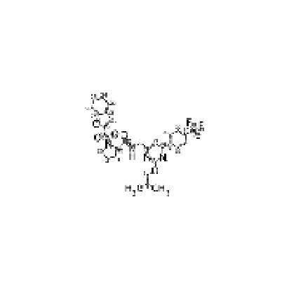 CC(C)COc1nc(CNC(=O)[C@@H]2CCCN2S(=O)(=O)c2cc3ccccc3o2)cc(-c2ccc(C(F)(F)F)cc2)n1